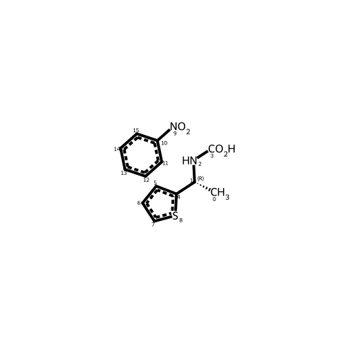 C[C@@H](NC(=O)O)c1cccs1.O=[N+]([O-])c1ccccc1